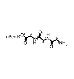 CCCCCOC(=O)CNC(=O)CNC(=O)CN